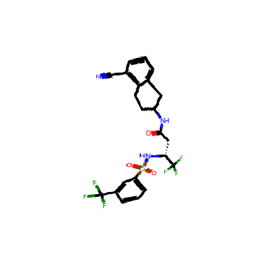 N#Cc1cccc2c1CCC(NC(=O)C[C@@H](NS(=O)(=O)c1cccc(C(F)(F)F)c1)C(F)(F)F)C2